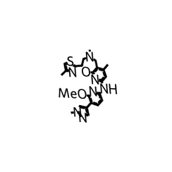 COc1nc(Nc2cc(C)c3c(n2)OC(c2nc(C)cs2)CN(C)C3)ccc1-c1cnn(C)c1